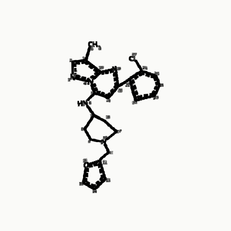 Cc1cnn2c(NC3CCN(Cc4ccco4)CC3)cc(-c3ccccc3Cl)nc12